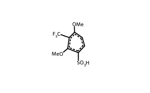 COc1ccc(S(=O)(=O)O)c(OC)c1C(F)(F)F